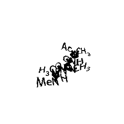 CNc1cc(C(=O)Nc2cc(C(=O)Nc3cc(C(C)=O)n(C)c3)n(C)c2)n(C)c1